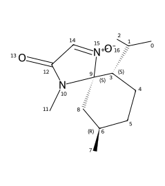 CC(C)[C@@H]1CC[C@@H](C)C[C@@]12N(C)C(=O)C=[N+]2[O-]